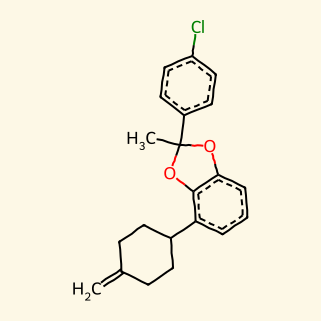 C=C1CCC(c2cccc3c2OC(C)(c2ccc(Cl)cc2)O3)CC1